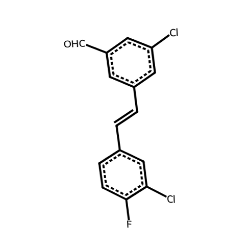 O=Cc1cc(Cl)cc(/C=C/c2ccc(F)c(Cl)c2)c1